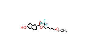 CCOCCCCCC(OC(=O)c1ccc2cc(O)ccc2c1)C(F)(F)F